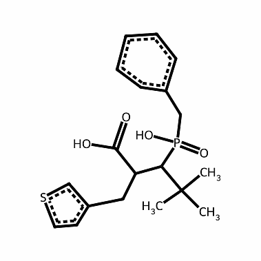 CC(C)(C)C(C(Cc1ccsc1)C(=O)O)P(=O)(O)Cc1ccccc1